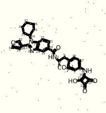 O=C(N[C@@H](Cc1ccc(Nc2c(O)c(=O)c2=O)cc1)C(=O)O)c1ccc2c(c1)nc(-c1ccoc1)n2C1CCCCC1